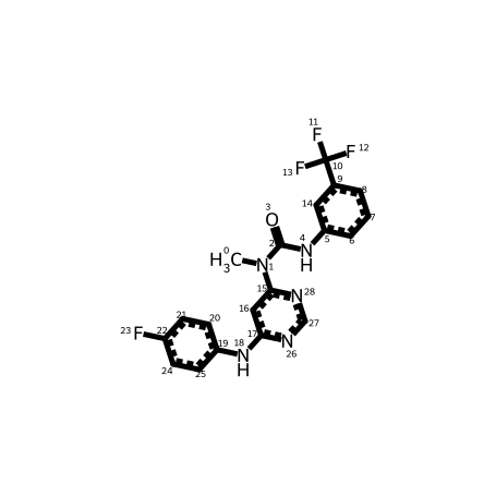 CN(C(=O)Nc1cccc(C(F)(F)F)c1)c1cc(Nc2ccc(F)cc2)ncn1